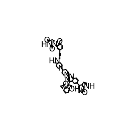 COc1ccc(C#CCNC2(C)CCN(C3CCN(c4nc(C(CO)(OC5CC5)c5ccccc5)c5cc(-c6cn(C)c(=O)c7[nH]ccc67)ccc5n4)CC3)CC2)cc1N1CCC(=O)NC1=O